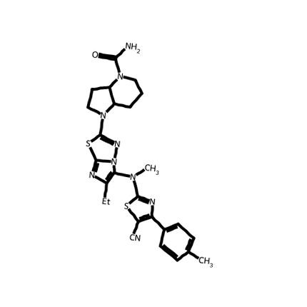 CCc1nc2sc(N3CCC4C3CCCN4C(N)=O)nn2c1N(C)c1nc(-c2ccc(C)cc2)c(C#N)s1